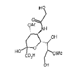 COC(CO)C(O)[C@@H]1OC(O)(C(=O)O)C[C@H](OC(C)=O)[C@H]1NC(=O)CO